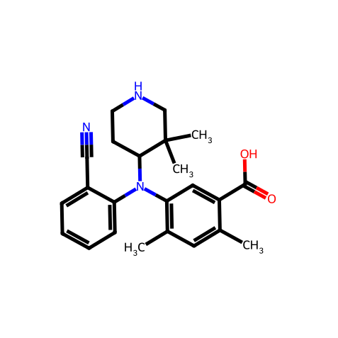 Cc1cc(C)c(N(c2ccccc2C#N)C2CCNCC2(C)C)cc1C(=O)O